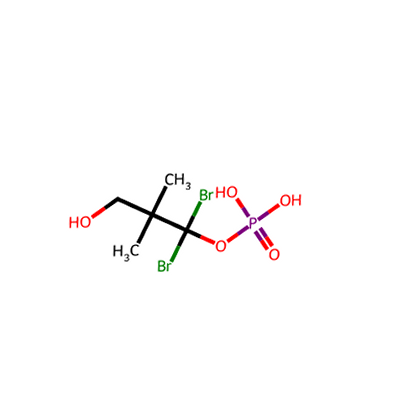 CC(C)(CO)C(Br)(Br)OP(=O)(O)O